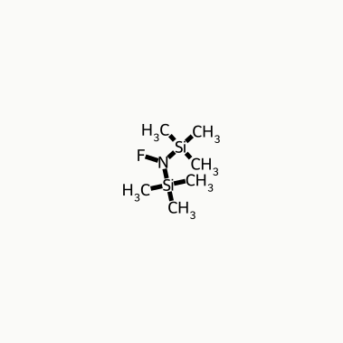 C[Si](C)(C)N(F)[Si](C)(C)C